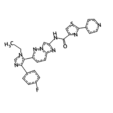 CCn1cnc(-c2ccc(F)cc2)c1-c1ccc2nc(NC(=O)c3csc(-c4ccncc4)n3)cn2n1